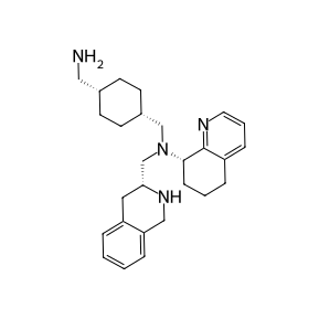 NC[C@H]1CC[C@@H](CN(C[C@H]2Cc3ccccc3CN2)[C@H]2CCCc3cccnc32)CC1